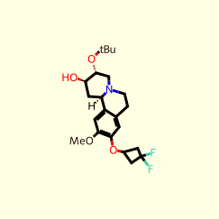 COc1cc2c(cc1OC1CC(F)(F)C1)CCN1C[C@@H](OC(C)(C)C)[C@H](O)C[C@H]21